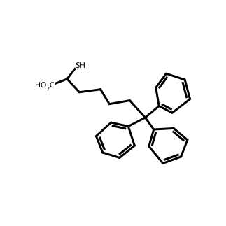 O=C(O)C(S)CCCCC(c1ccccc1)(c1ccccc1)c1ccccc1